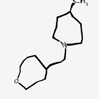 CC1CCN(CC2CCOCC2)CC1